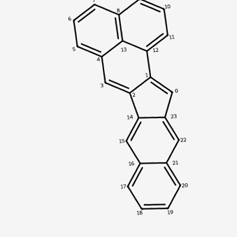 C1=c2c(cc3cccc4cccc2c43)-c2cc3ccccc3cc21